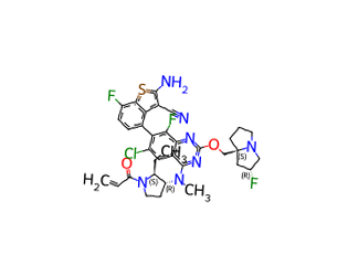 C=CC(=O)N1CC[C@@H](N(C)c2nc(OC[C@@]34CCCN3C[C@H](F)C4)nc3c(F)c(-c4ccc(F)c5sc(N)c(C#N)c45)c(Cl)cc23)[C@@H]1CC